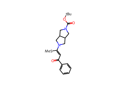 CSC(=CC(=O)c1ccccc1)N1CC2CN(C(=O)OC(C)(C)C)CC2C1